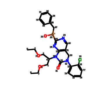 CCOCC(COCC)N1C(=O)N(c2ccccc2Cl)Cc2cnc([S+]([O-])Cc3ccccc3)nc21